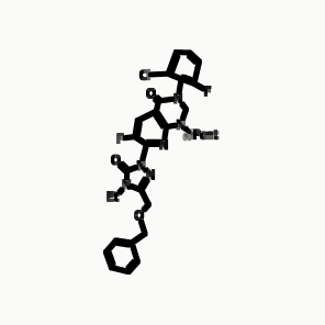 CCC[C@H](C)N1CN(c2c(F)cccc2Cl)C(=O)c2cc(F)c(-n3nc(COCc4ccccc4)n(CC)c3=O)nc21